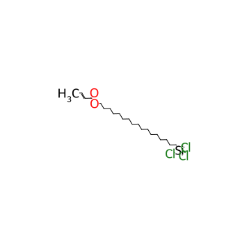 CC=CC(=O)OCCCCCCCCCCCCCCCCC[Si](Cl)(Cl)Cl